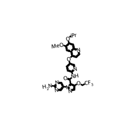 COc1cc2c(Oc3ccc(NC(=O)c4c(OCC(F)(F)F)cnn4-c4cnc(N)nc4)nc3)ccnc2cc1OC(C)C